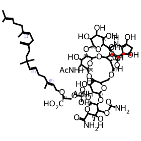 C=C(C/C=C(\C)CCC=C(C)C)CCC(C)(C)/C=C/CC/C(C)=C/CO[C@H](COP(=O)(O)O[C@H]1OC(C(N)=O)[C@@](C)(O)C(OC(N)=O)C1O[C@@H]1OC2CO[C@@H]3OC(CO)[C@@H](O)C(OC4O[C@@H](O[C@H]2C(O)C1NC(C)=O)C(NC(C)=O)C(O)[C@@H]4O[C@@H]1OC(C(=O)NC2=C(O)CCC2=O)[C@H](O)C(O)C1O)C3O)C(=O)O